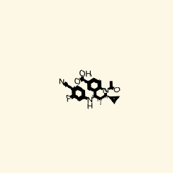 CC(=O)N1c2ccc(C(=O)O)cc2[C@H](Nc2ccc(C#N)c(F)c2)[C@@H](C)[C@@H]1C1CC1